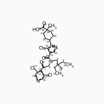 CCC(F)(CC)CN(CC(=O)c1c(Cl)cncc1Cl)C(=O)c1cnn(C2CCC(C)(C(=O)O)CC2)c1Cl